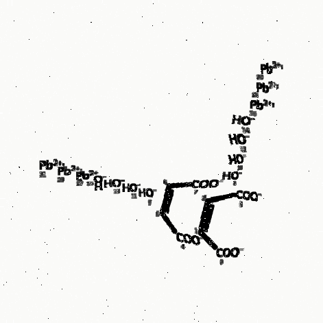 O=C([O-])/C=C\C(=O)[O-].O=C([O-])/C=C\C(=O)[O-].[OH-].[OH-].[OH-].[OH-].[OH-].[OH-].[OH-].[OH-].[Pb+2].[Pb+2].[Pb+2].[Pb+2].[Pb+2].[Pb+2]